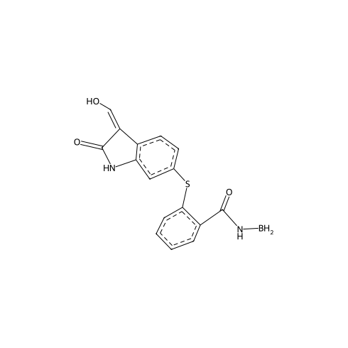 BNC(=O)c1ccccc1Sc1ccc2c(c1)NC(=O)/C2=C\O